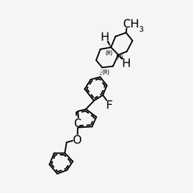 CC1CC[C@@H]2C[C@H](c3ccc(-c4ccc(OCc5ccccc5)cc4)c(F)c3)CC[C@@H]2C1